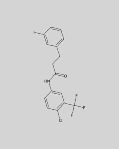 O=C(CCc1cccc(I)c1)Nc1ccc(Cl)c(C(F)(F)F)c1